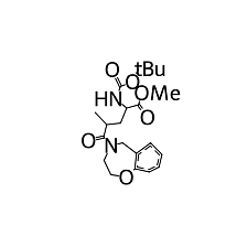 COC(=O)C(CC(C)C(=O)N1CCOc2ccccc2C1)NC(=O)OC(C)(C)C